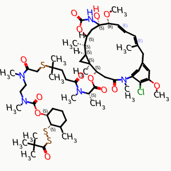 COc1cc2cc(c1Cl)N(C)C(=O)C[C@H](OC(=O)[C@H](C)N(C)C(=O)CCC(C)(C)SCC(=O)N(C)CCN(C)C(=O)O[C@H]1CCCC(C)[C@@H]1SSC(=O)C(C)(C)C)[C@@]1(C)C[C@H]1[C@H](C)[C@@H]1C[C@@](O)(NC(=O)O1)[C@H](OC)/C=C/C=C(\C)C2